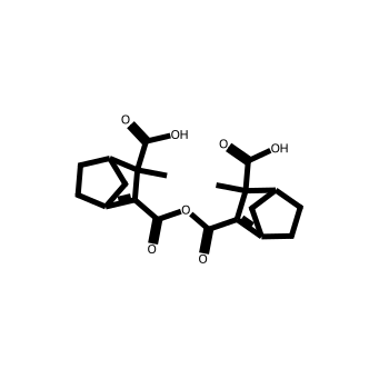 CC1(C(=O)O)C(C(=O)OC(=O)C2=C3CCC(C3)C2(C)C(=O)O)=C2CCC1C2